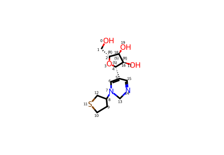 OC[C@H]1O[C@@H](C2=CN(C3CCSC3)CN=C2)[C@H](O)[C@@H]1O